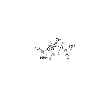 CC(CC1CNC(=O)O1)(C(=O)O)S(C)(=O)=O